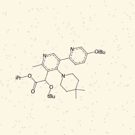 Cc1ncc(-c2ccc(OCC(C)C)cn2)c(N2CCC(C)(C)CC2)c1C(OC(C)(C)C)C(=O)OC(C)C